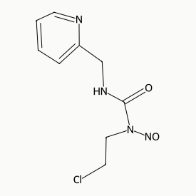 O=NN(CCCl)C(=O)NCc1ccccn1